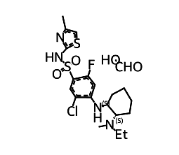 CCN(C)[C@H]1CCCC[C@@H]1Nc1cc(F)c(S(=O)(=O)Nc2nc(C)cs2)cc1Cl.O=CO